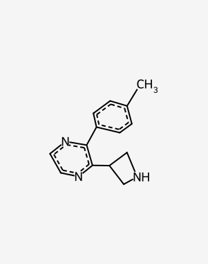 Cc1ccc(-c2nccnc2C2CNC2)cc1